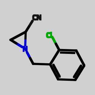 N#CC1CN1Cc1ccccc1Cl